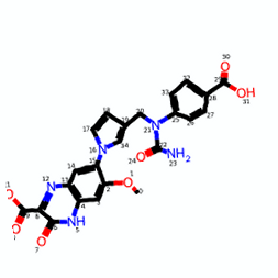 COc1cc2[nH]c(=O)c(C(=O)O)nc2cc1-n1ccc(CN(C(N)=O)c2ccc(C(=O)O)cc2)c1